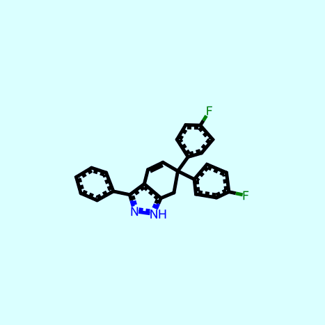 Fc1ccc(C2(c3ccc(F)cc3)C=Cc3c(-c4ccccc4)n[nH]c3C2)cc1